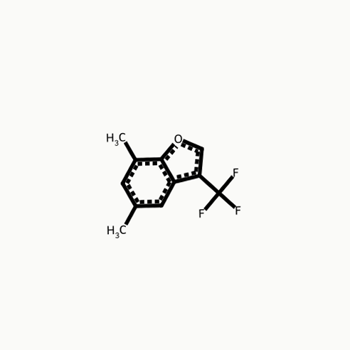 Cc1cc(C)c2occ(C(F)(F)F)c2c1